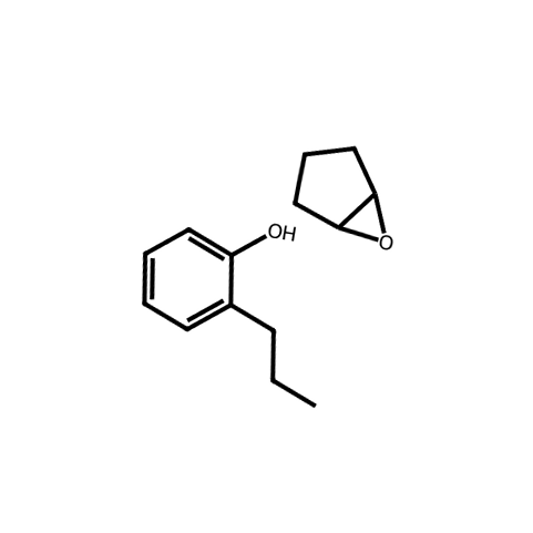 C1CC2OC2C1.CCCc1ccccc1O